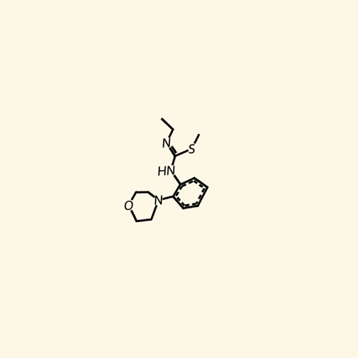 CC/N=C(/Nc1ccccc1N1CCOCC1)SC